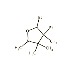 CCC1ON(C)C(C)(C)C1(C)CC